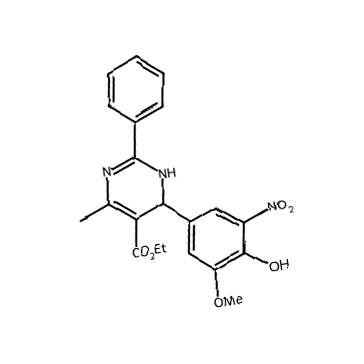 CCOC(=O)C1=C(C)N=C(c2ccccc2)NC1c1cc(OC)c(O)c([N+](=O)[O-])c1